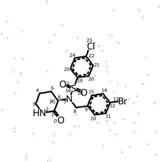 O=C1NCCC[C@H]1N(Cc1ccc(Br)cc1)S(=O)(=O)c1ccc(Cl)cc1